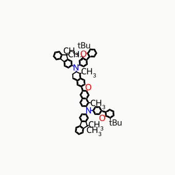 CC1=c2cc3oc4cc5c(C)c(N(c6ccc7c(c6)C(C)(C)c6ccccc6-7)c6ccc7c(c6)oc6c(C(C)(C)C)cccc67)ccc5cc4c3cc2=CCC1N(c1ccc2c(c1)C(C)(C)c1ccccc1-2)c1ccc2c(c1)oc1c(C(C)(C)C)cccc12